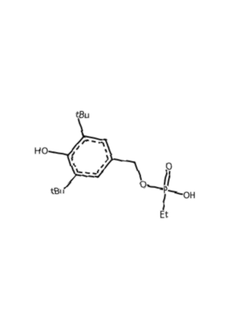 CCP(=O)(O)OCc1cc(C(C)(C)C)c(O)c(C(C)(C)C)c1